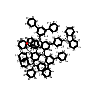 c1ccc(-c2cc(-c3ccccc3)cc(N3c4ccccc4B4c5c3cc(-c3ccc(-n6c7ccccc7c7ccccc76)cc3)cc5N(c3cc(-c5ccccc5)cc(-c5ccccc5)c3)c3cc([Si](c5ccccc5)(c5ccccc5)c5ccccc5)cc([Si](c5ccccc5)(c5ccccc5)c5ccccc5)c34)c2)cc1